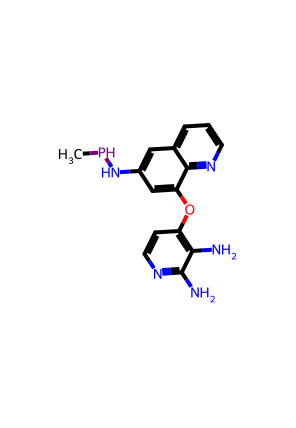 CPNc1cc(Oc2ccnc(N)c2N)c2ncccc2c1